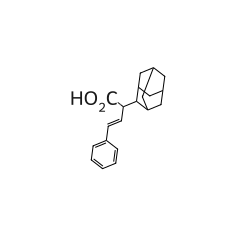 O=C(O)C(C=Cc1ccccc1)C1C2CC3CC(C2)CC1C3